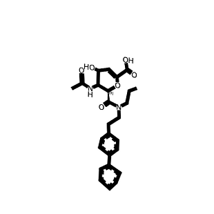 CCCN(CCc1ccc(-c2ccccc2)cc1)C(=O)[C@@H]1OC(C(=O)O)=CC(O)C1NC(C)=O